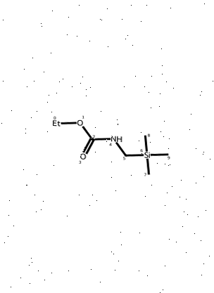 CCOC(=O)NC[Si](C)(C)C